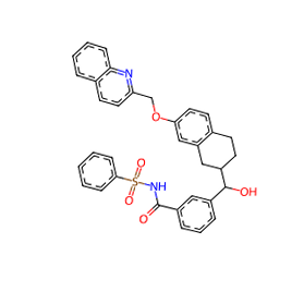 O=C(NS(=O)(=O)c1ccccc1)c1cccc(C(O)C2CCc3ccc(OCc4ccc5ccccc5n4)cc3C2)c1